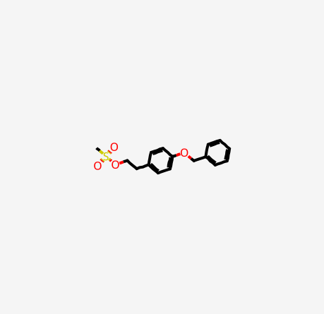 CS(=O)(=O)OCCc1ccc(OCc2ccccc2)cc1